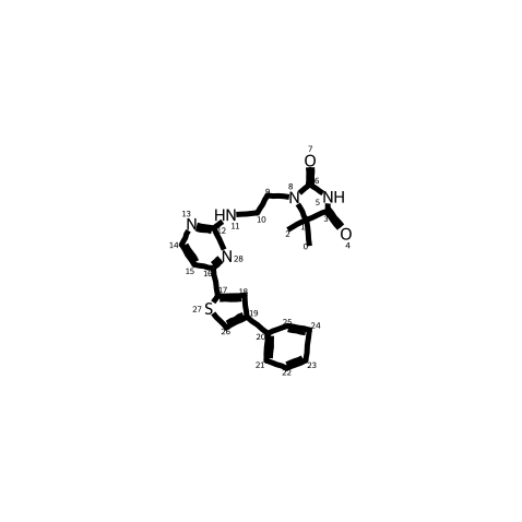 CC1(C)C(=O)NC(=O)N1CCNc1nccc(-c2cc(-c3ccccc3)cs2)n1